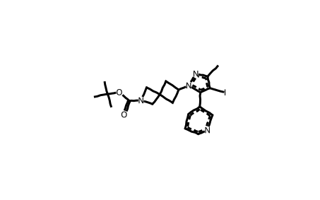 Cc1nn(C2CC3(C2)CN(C(=O)OC(C)(C)C)C3)c(-c2cccnc2)c1I